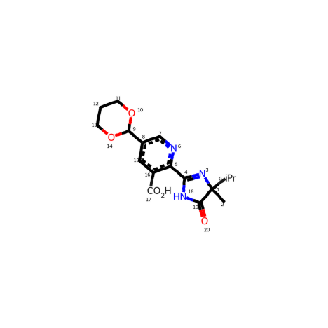 CC(C)C1(C)N=C(c2ncc(C3OCCCO3)cc2C(=O)O)NC1=O